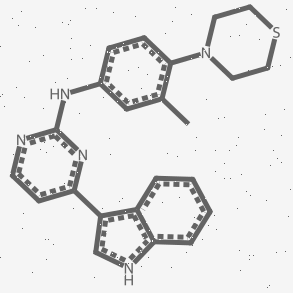 Cc1cc(Nc2nccc(-c3c[nH]c4ccccc34)n2)ccc1N1CCSCC1